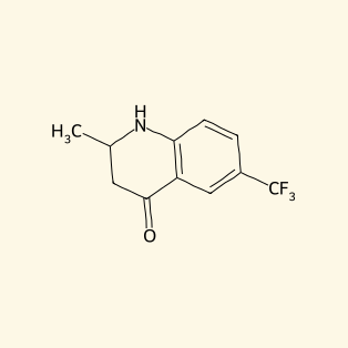 CC1CC(=O)c2cc(C(F)(F)F)ccc2N1